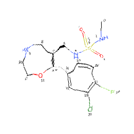 CNS(=O)(=O)NC[C@@H]1CNCCO[C@H]1c1ccc(F)c(Cl)c1